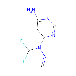 C=NN(C(F)F)C1CC(N)=NC=N1